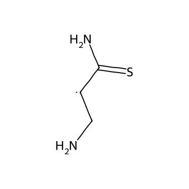 NC[CH]C(N)=S